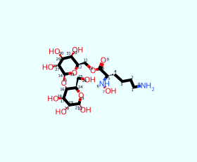 NCCCC[C@H](NO)C(=O)OC[C@H]1O[C@@H](O[C@H]2[C@H](O)[C@@H](O)[C@@H](O)O[C@@H]2CO)[C@H](O)[C@@H](O)[C@H]1O